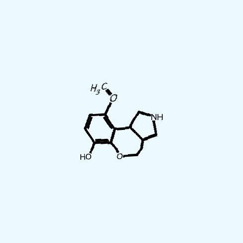 COc1ccc(O)c2c1C1CNCC1CO2